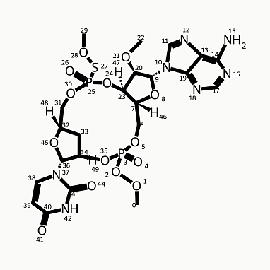 COOP1(=O)OC[C@H]2O[C@@H](n3cnc4c(N)ncnc43)[C@H](OC)[C@@H]2OP(=O)(SOC)OC[C@@H]2C[C@@H](O1)[C@H](n1ccc(=O)[nH]c1=O)O2